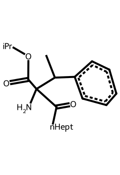 CCCCCCCC(=O)C(N)(C(=O)OC(C)C)C(C)c1ccccc1